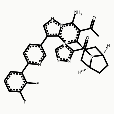 CC(=O)c1c([C@H]2C[C@H]3CC[C@@H](C2)N3C(=O)c2nnc[nH]2)nc2c(-c3ccc(-c4cccc(F)c4F)nc3)cnn2c1N